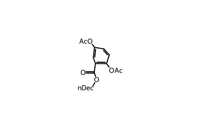 CCCCCCCCCCOC(=O)c1cc(OC(C)=O)ccc1OC(C)=O